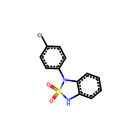 O=S1(=O)Nc2ccccc2N1c1ccc(Cl)cc1